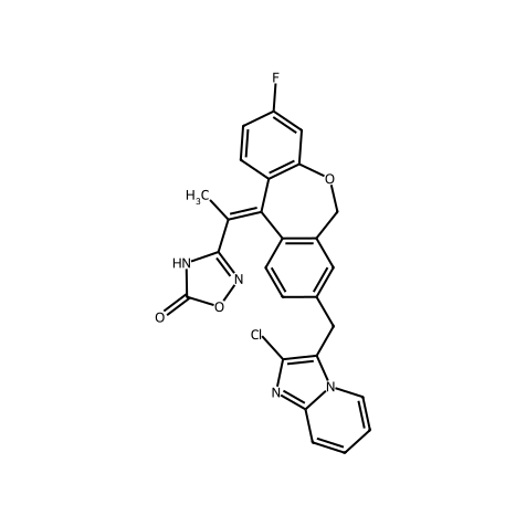 CC(=C1c2ccc(Cc3c(Cl)nc4ccccn34)cc2COc2cc(F)ccc21)c1noc(=O)[nH]1